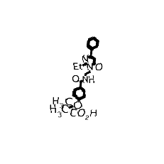 CCc1nc(-c2ccccc2)cc(=O)n1CCNC(=O)c1ccc(OC(C)(C)C(=O)O)cc1